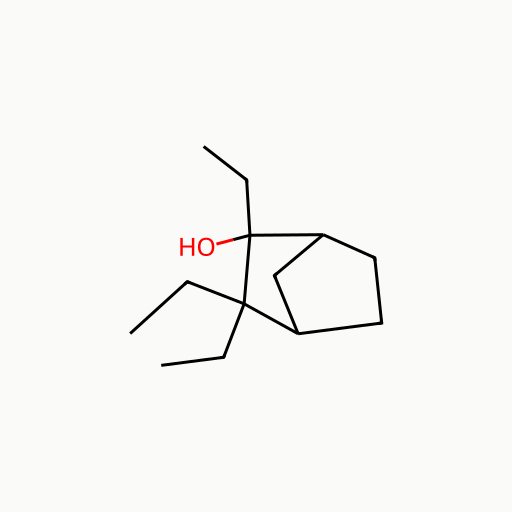 CCC1(O)C2CCC(C2)C1(CC)CC